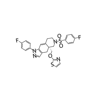 O=S(=O)(c1ccc(F)cc1)N1CCC2=Cc3c(cnn3-c3ccc(F)cc3)C[C@]2(COc2nccs2)C1